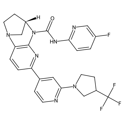 O=C(Nc1ccc(F)cn1)N1c2nc(-c3ccnc(N4CCC(C(F)(F)F)C4)c3)ccc2N2CC[C@H]1C2